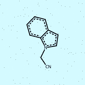 N#CCn1ccc2ccccc21